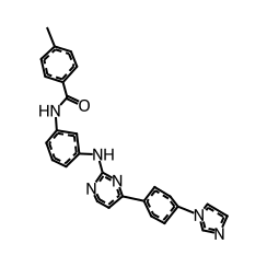 Cc1ccc(C(=O)Nc2cccc(Nc3nccc(-c4ccc(-n5ccnc5)cc4)n3)c2)cc1